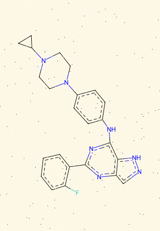 Fc1ccccc1-c1nc(Nc2ccc(N3CCN(C4CC4)CC3)cc2)c2[nH]ncc2n1